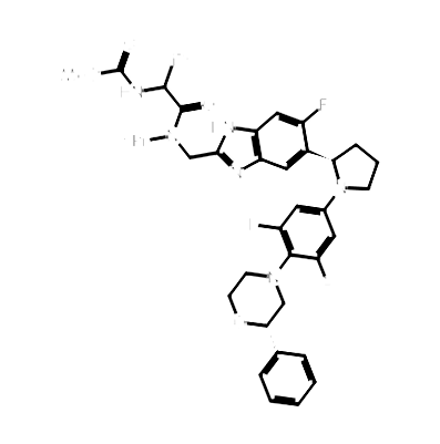 CCCN(Cc1nc2cc([C@H]3CCCN3c3cc(F)c(N4CCO[C@@H](c5ccccc5)C4)c(F)c3)c(F)cc2[nH]1)C(=O)C(NC(=O)OC)C(C)C